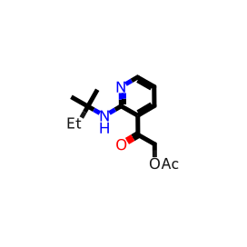 CCC(C)(C)Nc1ncccc1C(=O)COC(C)=O